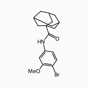 COc1cc(NC(=O)C23CC4CC(CC(C4)C2)C3)ccc1Br